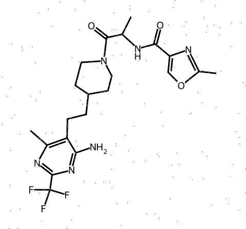 Cc1nc(C(=O)NC(C)C(=O)N2CCC(CCc3c(C)nc(C(F)(F)F)nc3N)CC2)co1